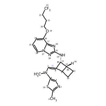 Cc1ncc(N(C)/C=C2\C3CC[C@H]3[C@H]2Nc2nc3c(OCCCC(F)(F)F)cccn3n2)s1